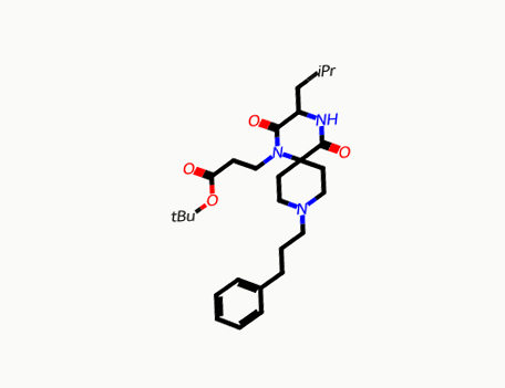 CC(C)CC1NC(=O)C2(CCN(CCCc3ccccc3)CC2)N(CCC(=O)OC(C)(C)C)C1=O